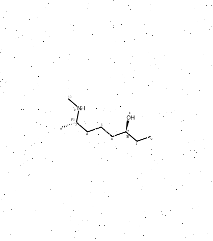 CC[C@H](O)CCC[C@H](C)NC